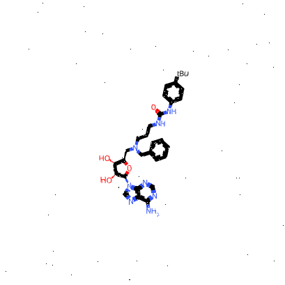 CC(C)(C)c1ccc(NC(=O)NCCCN(Cc2ccccc2)C[C@H]2O[C@@H](n3cnc4c(N)ncnc43)[C@H](O)[C@@H]2O)cc1